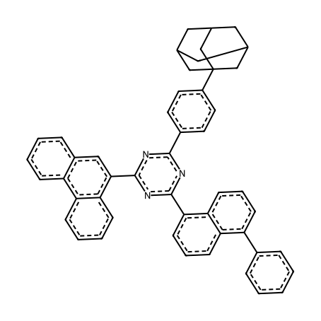 c1ccc(-c2cccc3c(-c4nc(-c5ccc(C67CC8CC(CC(C8)C6)C7)cc5)nc(-c5cc6ccccc6c6ccccc56)n4)cccc23)cc1